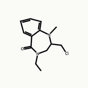 CCN1CC(CCl)N(C)c2ccccc2C1=O